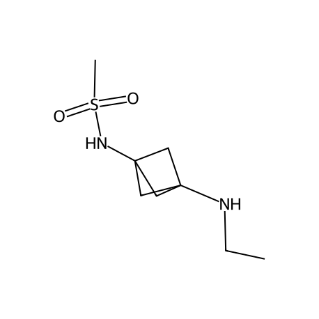 CCNC12CC(NS(C)(=O)=O)(C1)C2